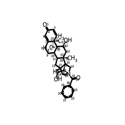 C[C@]12C=CC(=O)C=C1CCC1C3C[C@H]4CN(C(=O)c5ccccc5)C[C@@]4(C(=O)CO)[C@@]3(C)C[C@H](O)[C@@]12C